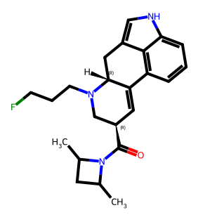 CC1CC(C)N1C(=O)[C@@H]1C=C2c3cccc4[nH]cc(c34)C[C@H]2N(CCCF)C1